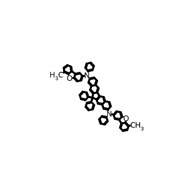 Cc1cccc2c1oc1ccc(N(c3ccccc3)c3ccc4cc5c(cc4c3)C(c3ccccc3)(c3ccccc3)c3cc4cc(N(c6ccccc6)c6ccc7oc8c(C)cccc8c7c6)ccc4cc3-5)cc12